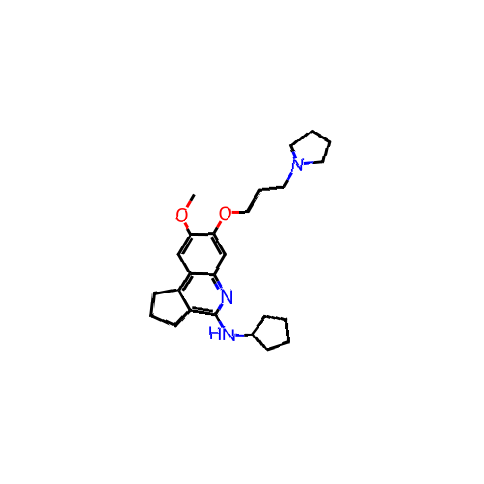 COc1cc2c3c(c(NC4CCCC4)nc2cc1OCCCN1CCCC1)CCC3